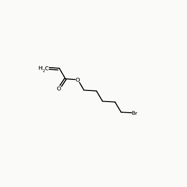 C=CC(=O)OCCCCCBr